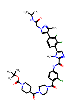 Cc1nn(CC(=O)NC(C)C)cc1-c1ccc(-c2cnc(C(=O)Nc3ccc(C(=O)N4CCN(C(=O)C5CCN(C(=O)OC(C)(C)C)CC5)CC4)c(Cl)c3)n2C)c(F)c1F